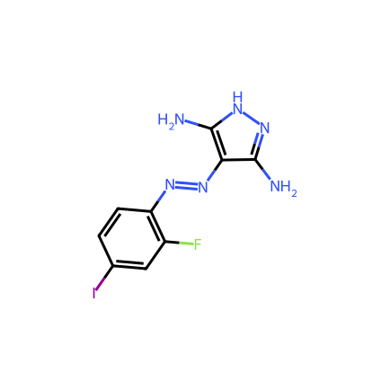 Nc1n[nH]c(N)c1N=Nc1ccc(I)cc1F